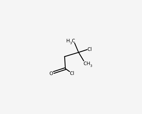 CC(C)(Cl)CC(=O)Cl